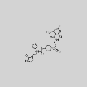 Cc1cc(Cl)nc(Cl)c1C(=O)NCC[C@@H](C)N1CCC(N(Cc2ccsc2)C(=O)NCCN2CCNC2=O)CC1